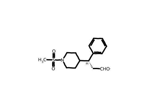 CS(=O)(=O)N1CCC([C@@H](C[C]=O)c2ccccc2)CC1